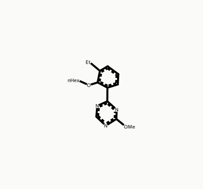 CCCCCCOc1c(CC)cccc1-c1ncnc(OC)n1